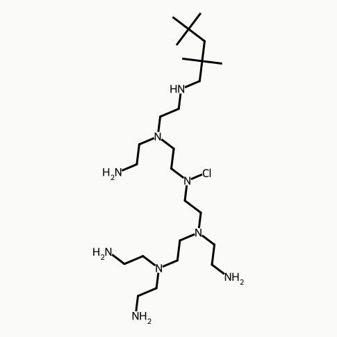 CC(C)(C)CC(C)(C)CNCCN(CCN)CCN(Cl)CCN(CCN)CCN(CCN)CCN